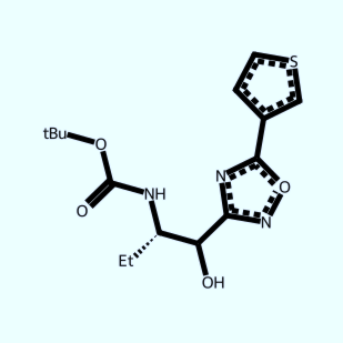 CC[C@H](NC(=O)OC(C)(C)C)C(O)c1noc(-c2ccsc2)n1